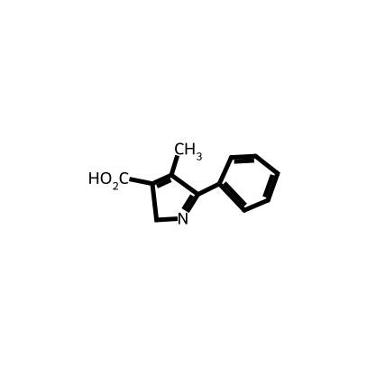 CC1=C(C(=O)O)CN=C1c1ccccc1